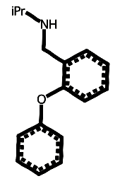 CC(C)NCc1ccccc1Oc1ccccc1